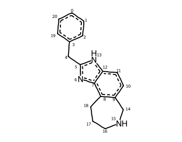 c1ccc(Cc2nc3c4c(ccc3[nH]2)CNCCC4)cc1